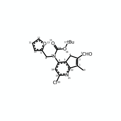 CC1=C(C=O)Cc2c(N(Cc3ccco3)C(=O)OC(C)(C)C)cc(Cl)nc21